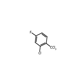 Fc1ccc(C(Cl)(Cl)Cl)c(Cl)c1